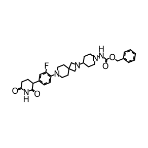 O=C1CCC(c2ccc(N3CCC4(CC3)CN(C3CCN(NC(=O)OCc5ccccc5)CC3)C4)c(F)c2)C(=O)N1